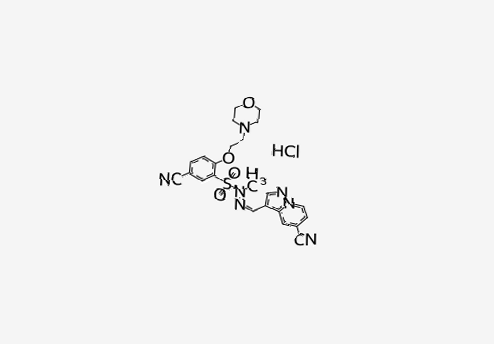 CN(/N=C\c1cnn2ccc(C#N)cc12)S(=O)(=O)c1cc(C#N)ccc1OCCN1CCOCC1.Cl